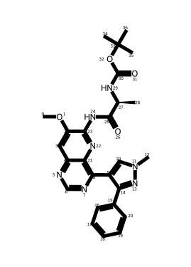 COc1cc2ncnc(-c3cn(C)nc3-c3ccccc3)c2nc1NC(=O)[C@H](C)NC(=O)OC(C)(C)C